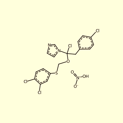 Clc1ccc(CC(Cl)(OCSc2ccc(Cl)c(Cl)c2)n2ccnc2)cc1.O=[N+]([O-])O